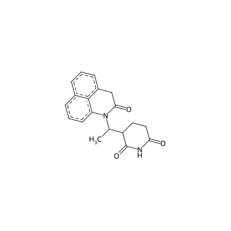 CC(C1CCC(=O)NC1=O)N1C(=O)Cc2cccc3cccc1c23